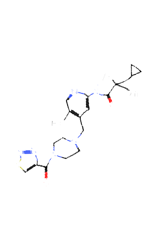 Cc1cnc(NC(=O)C(C)(C)C2CC2)cc1CN1CCN(C(=O)c2csnn2)CC1